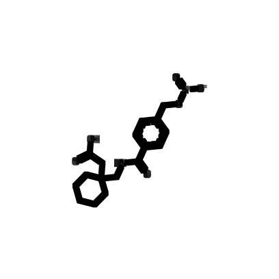 O=C(O)CC1(CNC(=O)c2ccc(CO[N+](=O)[O-])cc2)CCCCC1